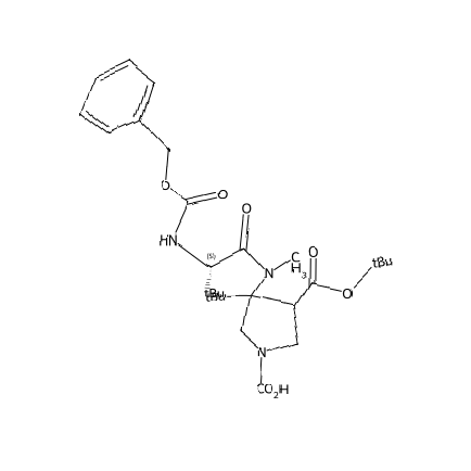 CN(C(=O)[C@@H](NC(=O)OCc1ccccc1)C(C)(C)C)C1(C(C)(C)C)CN(C(=O)O)CC1C(=O)OC(C)(C)C